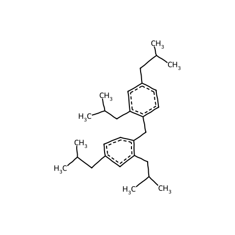 CC(C)Cc1ccc(Cc2ccc(CC(C)C)cc2CC(C)C)c(CC(C)C)c1